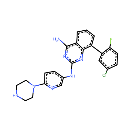 Nc1nc(Nc2ccc(N3CCNCC3)nc2)nc2c(-c3cc(Cl)ccc3F)cccc12